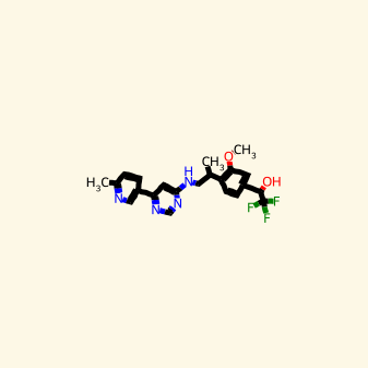 COc1cc(C(O)C(F)(F)F)ccc1C(C)CNc1cc(-c2ccc(C)nc2)ncn1